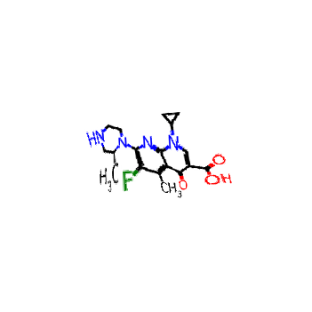 Cc1c(F)c(N2CCNC[C@@H]2C)nc2c1c(=O)c(C(=O)O)cn2C1CC1